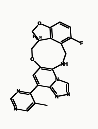 Cc1cncnc1-c1cc2c(n3cnnc13)NCc1c(F)ccc3c1[C@@H](CO3)CO2